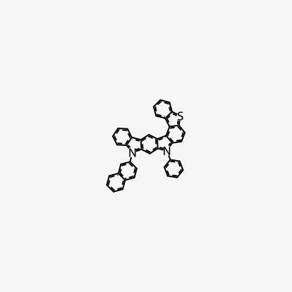 c1ccc(-n2c3cc4c(cc3c3c5c(ccc32)sc2ccccc25)c2ccccc2n4-c2ccc3ccccc3c2)cc1